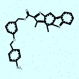 CC1=c2c(cc3c(c2C)N=c2ccccc2=3)N=C1C(=O)OCc1cccc(OCc2ccc([N+](=O)[O-])cc2)c1